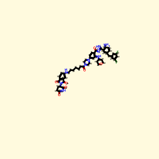 N=C(NC(=O)c1ccc(N2CCN(C(=O)CCCCCCNc3ccc4c(c3)C(=O)N(C3CCC(=O)NC3=O)C4=O)CC2)cc1NC1CCOCC1)c1cc(Cc2cc(F)cc(F)c2)ccc1N